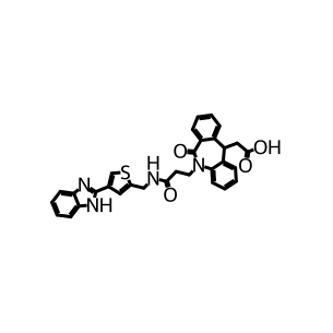 O=C(O)CC1c2ccccc2C(=O)N(CCC(=O)NCc2cc(-c3nc4ccccc4[nH]3)cs2)c2ccccc21